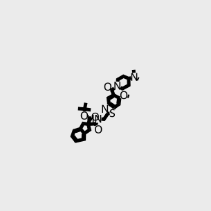 COc1cc2sc(CNC(=O)C3(C(=O)OC(C)(C)C)Cc4ccccc4C3)nc2cc1C(=O)N1CCC(N(C)C)CC1